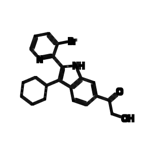 O=C(CO)c1ccc2c(C3CCCCC3)c(-c3ncccc3Br)[nH]c2c1